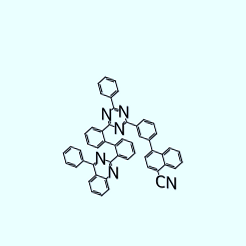 N#Cc1ccc(-c2cccc(-c3nc(-c4ccccc4)nc(-c4ccccc4-c4ccccc4-c4nc(-c5ccccc5)c5ccccc5n4)n3)c2)c2ccccc12